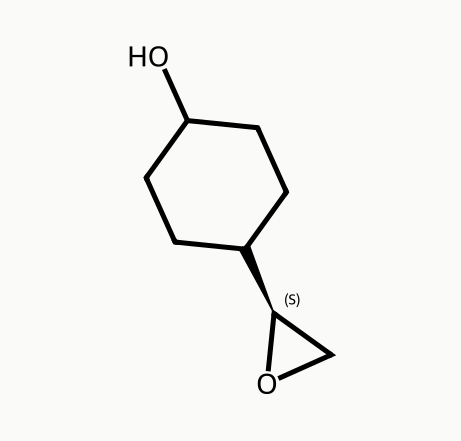 OC1CCC([C@H]2CO2)CC1